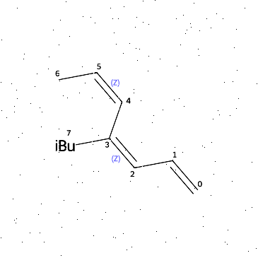 C=C/C=C(\C=C/C)C(C)CC